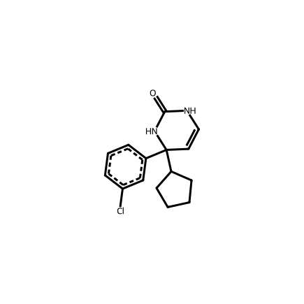 O=C1NC=CC(c2cccc(Cl)c2)(C2CCCC2)N1